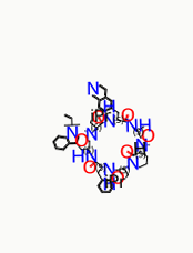 C=CC(C)(C)n1cc(C[C@@H]2NC(=O)[C@H](Cc3ccccc3)NC(=O)[C@H](CC(C)C)N3CCC[C@@H](C3=O)N(C)C(=O)[C@H](C)NC(=O)[C@H](Cc3ccc4cnccc4c3)NC(=O)[C@H](CC(C)C)N(C)C2=O)c2ccccc21